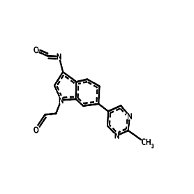 Cc1ncc(-c2ccc3c(N=C=O)cn(CC=O)c3c2)cn1